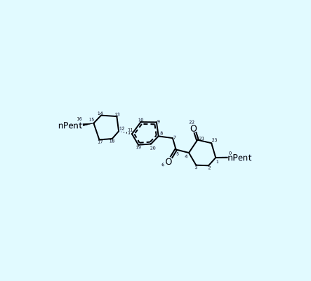 CCCCCC1CCC(C(=O)Cc2ccc([C@H]3CC[C@H](CCCCC)CC3)cc2)C(=O)C1